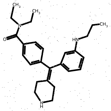 CCCNc1cccc(C(=C2CCNCC2)c2ccc(C(=O)N(CC)CC)cc2)c1